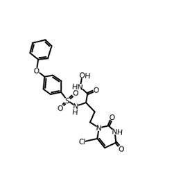 O=C(NO)C(CCn1c(Cl)cc(=O)[nH]c1=O)NS(=O)(=O)c1ccc(Oc2ccccc2)cc1